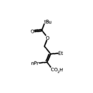 CCCC(C(=O)O)=C(CC)COC(=O)C(C)(C)C